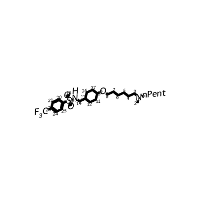 CCCCCN(C)CCCCCCOC1CCC(CNS(=O)(=O)c2ccc(C(F)(F)F)cc2)CC1